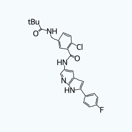 CC(C)(C)C(=O)NCc1ccc(Cl)c(C(=O)Nc2cnc3[nH]c(-c4ccc(F)cc4)cc3c2)c1